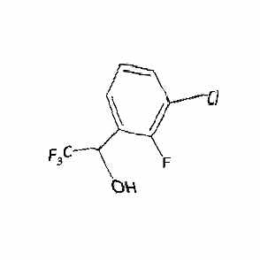 OC(c1cccc(Cl)c1F)C(F)(F)F